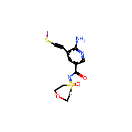 Nc1ncc(C(=O)N=S2(=O)CCOCC2)cc1C#CSI